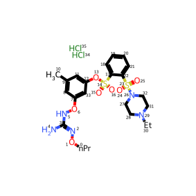 CCCON=C(N)NOc1cc(C)cc(OS(=O)(=O)c2ccccc2S(=O)(=O)N2CCN(CC)CC2)c1.Cl.Cl